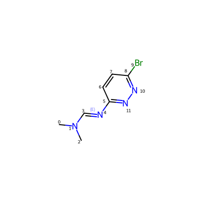 CN(C)/C=N/c1ccc(Br)nn1